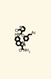 CC(=O)CCc1ccc(-n2nc(C(N)=O)c3c2-c2cc(NC(=O)c4cccnc4Cl)ccc2CC3)cc1